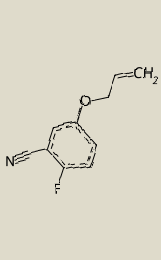 C=CCOc1ccc(F)c(C#N)c1